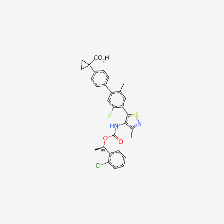 Cc1cc(-c2snc(C)c2NC(=O)O[C@H](C)c2ccccc2Cl)c(F)cc1-c1ccc(C2(C(=O)O)CC2)cc1